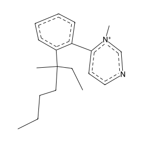 CCCCC(C)(CC)c1ccccc1-c1ccnc[n+]1C